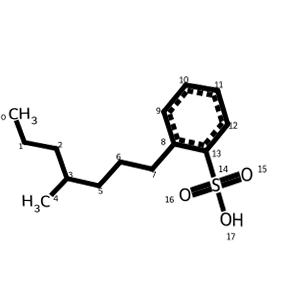 CCCC(C)CCCc1ccccc1S(=O)(=O)O